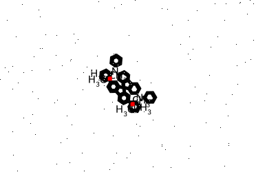 CC(C)(C)c1ccc2c(c1)C1(C3=C(C=CC(N(c4ccccc4)c4ccccc4)C3)C3=C1CC(N(c1ccccc1)C1C=CC=CC1)C=C3)c1cc(C(C)(C)C)ccc1-2